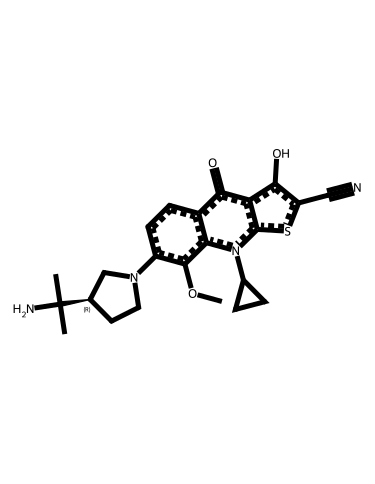 COc1c(N2CC[C@@H](C(C)(C)N)C2)ccc2c(=O)c3c(O)c(C#N)sc3n(C3CC3)c12